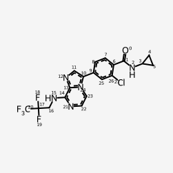 O=C(NC1CC1)c1ccc(-c2cnc3c(NCC(F)(F)C(F)(F)F)nccn23)cc1Cl